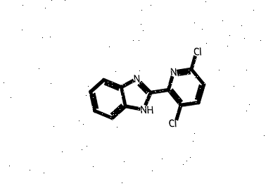 Clc1ccc(Cl)c(-c2nc3ccccc3[nH]2)n1